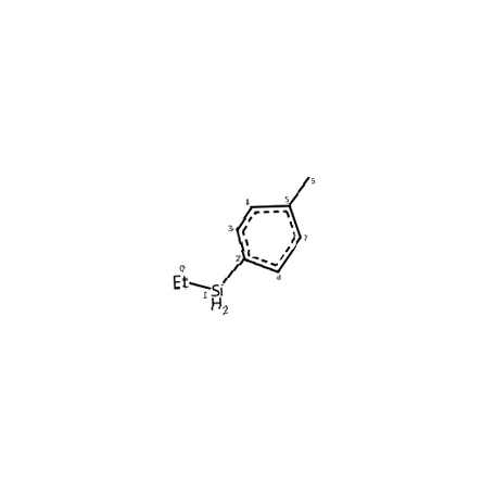 CC[SiH2]c1ccc(C)cc1